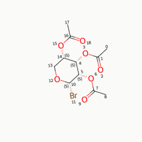 CC(=O)O[C@@H]1[C@H](OC(C)=O)[C@H](Br)OC[C@@H]1OC(C)=O